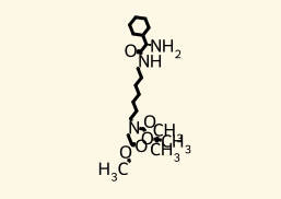 CCOC(=O)CN(CCCCCCCNC(=O)[C@H](N)C1CCCCC1)C(=O)OC(C)(C)C